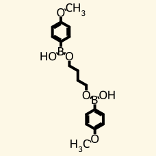 COc1ccc(B(O)OCCCCOB(O)c2ccc(OC)cc2)cc1